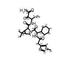 CCCC(NC(=O)C1C2C(CN1C(=O)C(NC(=O)Cc1cn(C)cn1)C1CCCCC1)C2(C)C)C(=O)C(N)=O